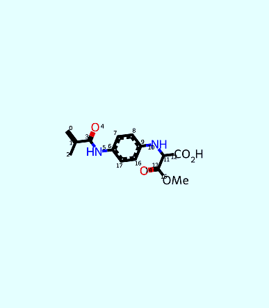 C=C(C)C(=O)Nc1ccc(NC(C(=O)O)C(=O)OC)cc1